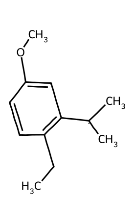 CCc1ccc(OC)cc1[C](C)C